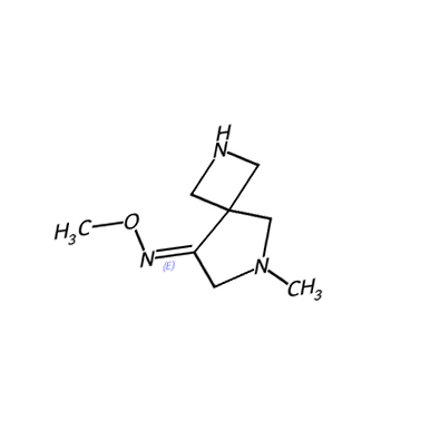 CO/N=C1/CN(C)CC12CNC2